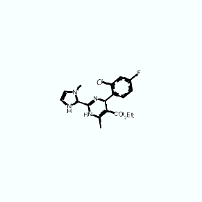 CCOC(=O)C1=C(C)NC(C2NC=CN2C)=NC1c1ccc(F)cc1Cl